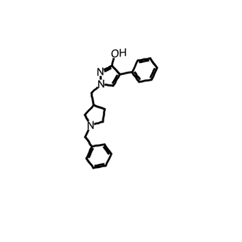 Oc1nn(CC2CCN(Cc3ccccc3)C2)cc1-c1ccccc1